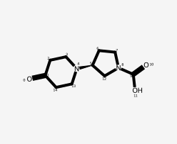 O=C1CCN([C@H]2CCN(C(=O)O)C2)CC1